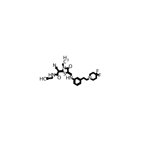 C#CCNC(=O)C(C#N)=c1sc(=CNc2cccc(CCN3CCC(F)(F)CC3)c2)c(=O)n1CC